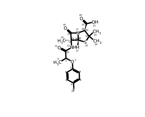 CC(Oc1ccc(F)cc1)C(=O)N[C@@]1(C)C(=O)N2[C@@H](C(=O)O)C(C)(C)S[C@@H]21